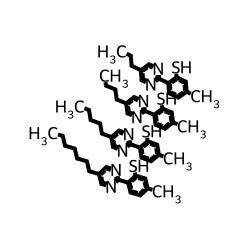 CCCCCCCc1cnc(-c2ccc(C)cc2S)nc1.CCCCCc1cnc(-c2ccc(C)cc2S)nc1.CCCCc1cnc(-c2ccc(C)cc2S)nc1.CCCc1cnc(-c2ccc(C)cc2S)nc1